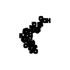 COc1nc(-c2cccc(-c3c(F)ccc(NC(=O)c4cn(C)c(=O)n(C)c4=O)c3Cl)c2Cl)cc2c1C(N1CC(C(=O)O)C1)CC2